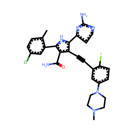 Cc1ccc(Cl)cc1-c1[nH]c(-c2ccnc(N)n2)c(C#Cc2cc(N3CCN(C)CC3)ccc2F)c1C(N)=O